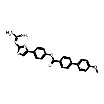 COc1ccc(-c2ccc(C(=O)Oc3ccc(-c4csc(N=C(N)N)n4)cc3)cc2)cc1